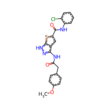 COc1ccc(CC(=O)Nc2n[nH]c3sc(C(=O)Nc4ccccc4Cl)cc23)cc1